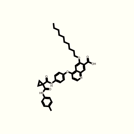 CCCCCCCCCCOc1cc2c(Oc3ccc(NC(=O)C4(C(=O)Nc5ccc(C)cc5)CC4)cc3)ccnc2cc1C(=O)O